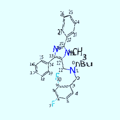 CCCCN(Cc1ccc(F)cc1F)Cc1c(-c2ccccc2)nc(-c2ccccc2)n1C